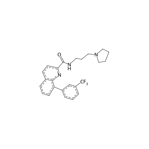 O=C(NCCCN1CCCC1)c1ccc2cccc(-c3cccc(C(F)(F)F)c3)c2n1